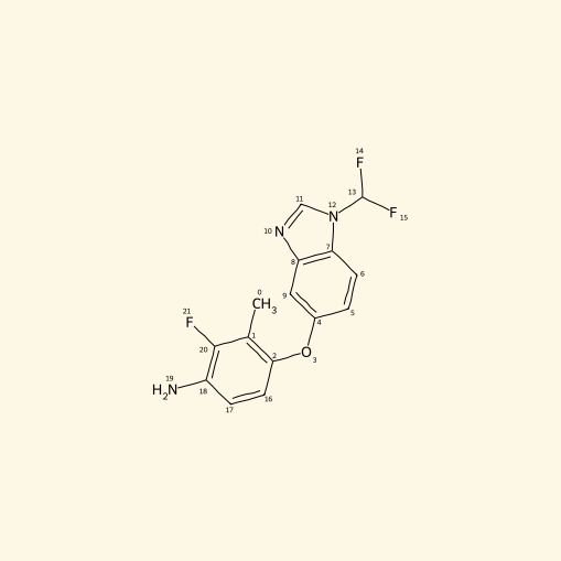 Cc1c(Oc2ccc3c(c2)ncn3C(F)F)ccc(N)c1F